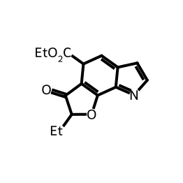 CCOC(=O)C1C=C2C=CN=C2C2=C1C(=O)C(CC)O2